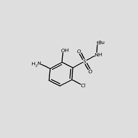 CC(C)(C)NS(=O)(=O)c1c(Cl)ccc(N)c1O